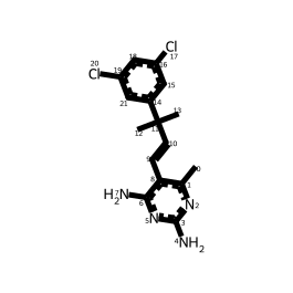 Cc1nc(N)nc(N)c1C=CC(C)(C)c1cc(Cl)cc(Cl)c1